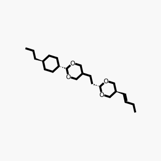 CC/C=C/[C@H]1CO[C@H](CCC2COC([C@H]3CC[C@H](CCC)CC3)OC2)OC1